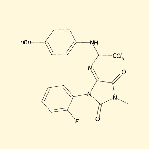 CCCCc1ccc(NC(N=C2C(=O)N(C)C(=O)N2c2ccccc2F)C(Cl)(Cl)Cl)cc1